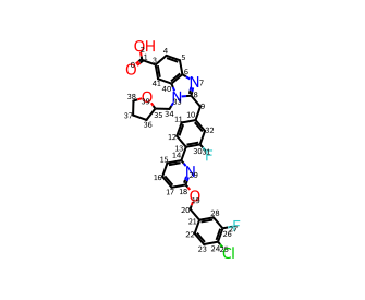 O=C(O)c1ccc2nc(Cc3ccc(-c4cccc(OCc5ccc(Cl)c(F)c5)n4)c(F)c3)n(CC3CCCO3)c2c1